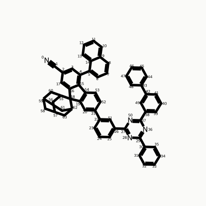 N#Cc1cc(-c2cccc3ccccc23)c2c(c1)C1(c3cc(-c4cccc(-c5nc(-c6ccccc6)nc(-c6cccc(-c7ccccc7)c6)n5)c4)ccc3-2)C2CC3CC(C2)CC1C3